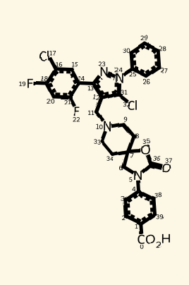 O=C(O)c1ccc(N2CC3(CCN(Cc4c(-c5cc(Cl)c(F)cc5F)nn(-c5ccccc5)c4Cl)CC3)OC2=O)cc1